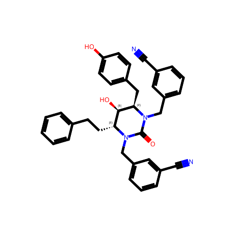 N#Cc1cccc(CN2C(=O)N(Cc3cccc(C#N)c3)[C@H](Cc3ccc(O)cc3)[C@H](O)[C@H]2CCc2ccccc2)c1